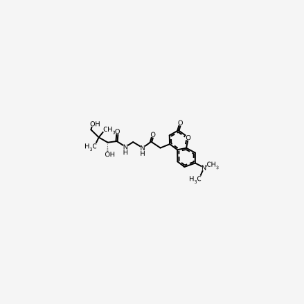 CN(C)c1ccc2c(CC(=O)NCNC(=O)[C@H](O)C(C)(C)CO)cc(=O)oc2c1